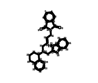 O=C1c2ccccc2C(=O)N1C/C=C/CN(Cc1nc2ccccc2[nH]1)C1CCCc2cccnc21